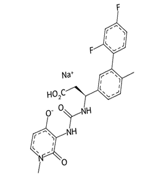 Cc1ccc([C@H](CC(=O)O)NC(=O)Nc2c([O-])ccn(C)c2=O)cc1-c1ccc(F)cc1F.[Na+]